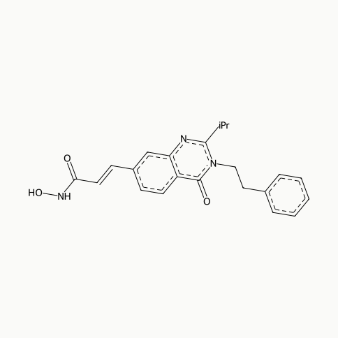 CC(C)c1nc2cc(/C=C/C(=O)NO)ccc2c(=O)n1CCc1ccccc1